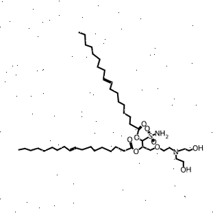 CCCCCCCCC=CCCCCCCCC(=O)OC(COCCN(CCO)CCO)C(OC(=O)CCCCCCCC=CCCCCCCCC)S(N)(=O)=O